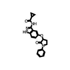 O=C(Nc1n[nH]c2ccc(OC3CCN(c4ccccc4)C3=O)cc12)C1CC1